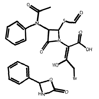 CC(=O)N(c1ccccc1)C1C(=O)N(C(C(=O)O)=C(O)CBr)C1SC=O.O=C1NC(c2ccccc2)O1